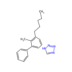 CCCCCc1cccc(-c2ccccc2)c1C.c1nnn[nH]1